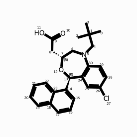 CC(C)(C)CN1C[C@@H](CC(=O)O)O[C@H](c2cccc3ccccc23)c2cc(Cl)ccc21